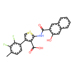 Cc1ccc(-c2csc(NC(=O)c3cc4ccccc4cc3O)c2C(=O)O)c(F)c1F